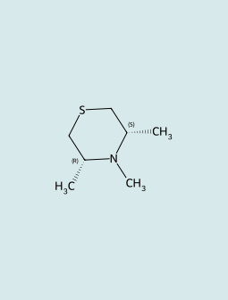 C[C@@H]1CSC[C@H](C)N1C